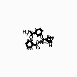 NC(=O)c1ccccc1.O=C(NOC(=O)c1ccccc1)c1cn[nH]c1